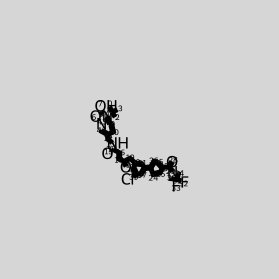 CC(C)(C)N(C(=O)O)c1ccc(CNC(=O)C=CC2Cc3cc(-c4ccc(C(=O)N5CC(F)(F)C5)cc4)cc(Cl)c3O2)cn1